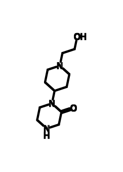 O=C1CNCCN1C1CCN(CCO)CC1